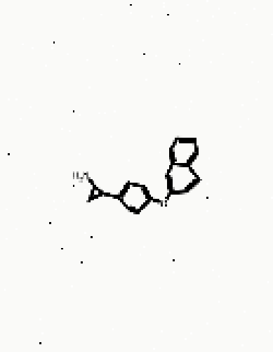 NC1CC1c1ccc(Oc2ccc3ccccc3c2)cc1